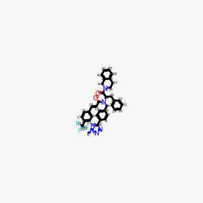 Cn1nnc(-c2ccc(CN(C(=O)C=Cc3ccc(C(F)(F)F)cc3)C(Cc3ccccc3)C(=O)N3CCc4ccccc4C3)cc2)n1